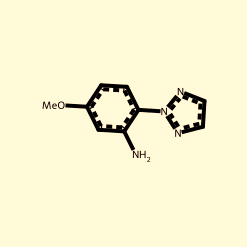 COc1ccc(-n2nccn2)c(N)c1